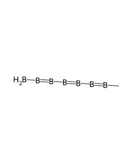 BB=BB=BB=BC